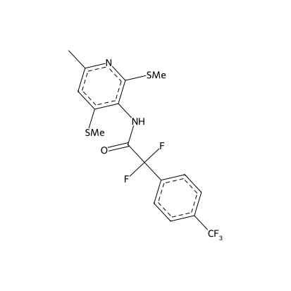 CSc1cc(C)nc(SC)c1NC(=O)C(F)(F)c1ccc(C(F)(F)F)cc1